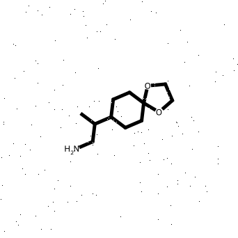 CC(CN)C1CCC2(CC1)OCCO2